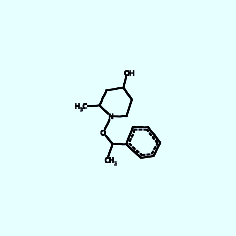 CC(ON1CCC(O)CC1C)c1ccccc1